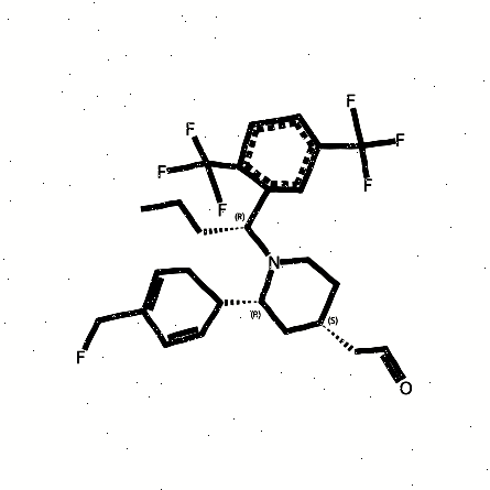 CCC[C@H](c1cc(C(F)(F)F)ccc1C(F)(F)F)N1CC[C@H](CC=O)C[C@@H]1C1C=CC(CF)=CC1